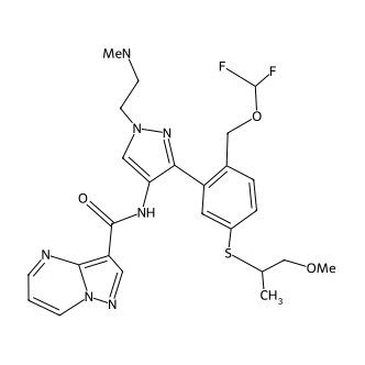 CNCCn1cc(NC(=O)c2cnn3cccnc23)c(-c2cc(SC(C)COC)ccc2COC(F)F)n1